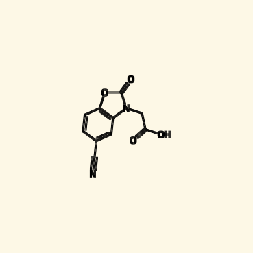 N#Cc1ccc2oc(=O)n(CC(=O)O)c2c1